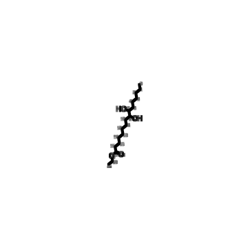 CCCCCCC(O)C(O)CCCCCCCC(=O)OCC